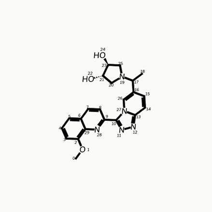 COc1cccc2ccc(-c3nnc4ccc(C(C)N5C[C@H](O)[C@@H](O)C5)cn34)nc12